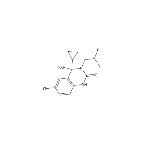 CCCCC1(C2CC2)c2cc(Cl)ccc2NC(=O)N1CC(F)F